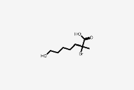 CC(Br)(CCCCCO)C(=O)O